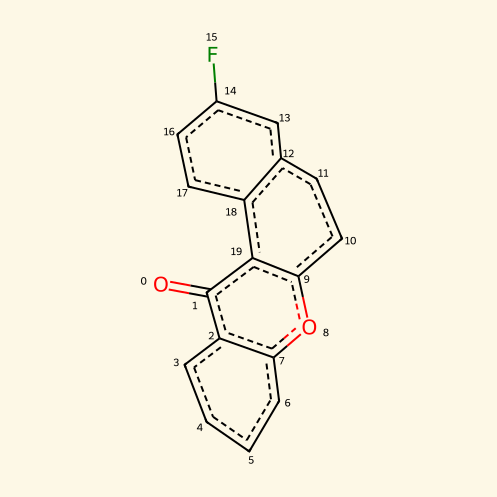 O=c1c2ccccc2oc2ccc3cc(F)ccc3c12